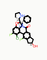 CNC(=O)c1cc2c(c(F)c1-c1c(Cl)c(F)cc3c1C[C@](c1ccccc1)([C@@H]1CCCN1)O3)C[C@H](O)C2